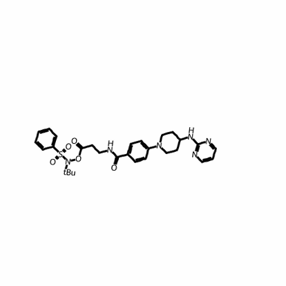 CC(C)(C)N(OC(=O)CCNC(=O)c1ccc(N2CCC(Nc3ncccn3)CC2)cc1)S(=O)(=O)c1ccccc1